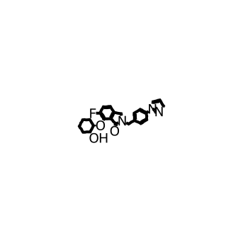 O=C1c2c(ccc(F)c2O[C@@H]2CCCC[C@H]2O)CN1Cc1ccc(-n2cccn2)cc1